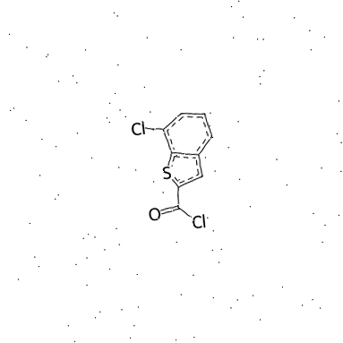 O=C(Cl)c1cc2cccc(Cl)c2s1